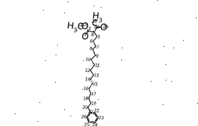 COC(=O)C(CCCCCCCCCCCCCCCCc1ccccc1)C(C)=O